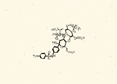 Nc1ccc(S(=O)(=O)Nc2ccc([C@@]3(S)O[C@H](COS(=O)(=O)O)[C@@H](O[C@H]4O[C@H](COS(=O)(=O)O)[C@@H](OS(=O)(=O)O)[C@H](OS(=O)(=O)O)[C@H]4OS(=O)(=O)O)[C@H](OS(=O)(=O)O)[C@H]3OS(=O)(=O)O)cc2)cc1